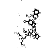 C#C[C@]1(COCP(=O)(OCC)OCC)O[C@@H](n2ncc3c(N[C@@H](C)c4ccccc4F)cc(Cl)nc32)[C@@H]2OC3(CCCC3)O[C@@H]21